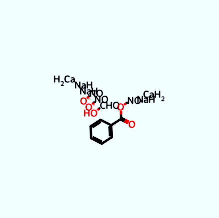 O=CO.O=NOC(=O)c1ccccc1.O=[NH+][O-].O=[NH+][O-].[CaH2].[CaH2].[NaH].[NaH].[NaH]